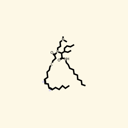 CCCCC/C=C\C/C=C\CCCCCCCC(=O)N(CCCN(C)C)C(C(=O)NCCCCCCCCCC)C(CC)CCCC